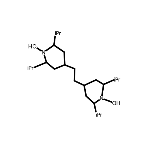 CC(C)C1CC(CCC2CC(C(C)C)N(O)C(C(C)C)C2)CC(C(C)C)N1O